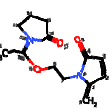 C=C1C=CC(=O)N1CCOC(C)N1CCCC1=O